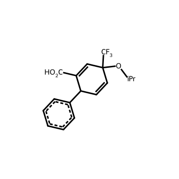 CC(C)OC1(C(F)(F)F)C=CC(c2ccccc2)C(C(=O)O)=C1